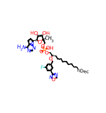 CCCCCCCCCCCCCCCCCCC[C@H](COP(=O)(O)OC[C@@]1(C)O[C@@H](c2ccc3c(N)ncnn23)[C@H](O)[C@@H]1O)OCc1cc(F)cc(-c2ncon2)c1